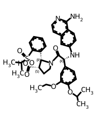 CCOc1cc([C@@H](Nc2ccc3c(N)nccc3c2)C(=O)N2CC[C@H](C(=O)O)[C@@H]2c2ccccc2S(=O)(=O)C(C)C)ccc1OC(C)C